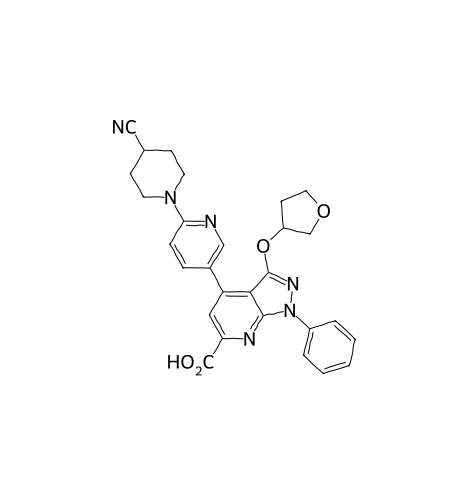 N#CC1CCN(c2ccc(-c3cc(C(=O)O)nc4c3c(OC3CCOC3)nn4-c3ccccc3)cn2)CC1